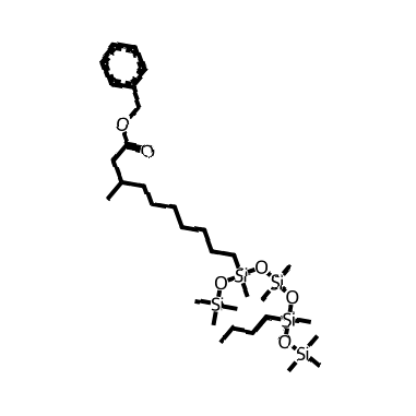 CCCC[Si](C)(O[Si](C)(C)C)O[Si](C)(C)O[Si](C)(CCCCCCCC(C)CC(=O)OCc1ccccc1)O[Si](C)(C)C